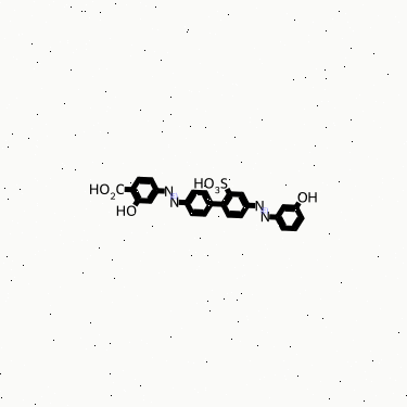 O=C(O)c1ccc(/N=N/c2ccc(-c3ccc(/N=N/c4cccc(O)c4)cc3S(=O)(=O)O)cc2)cc1O